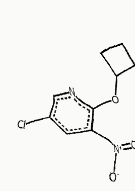 O=[N+]([O-])c1cc(Cl)cnc1OC1CCC1